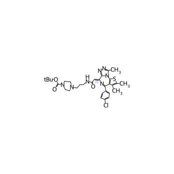 Cc1sc2c(c1C)C(c1ccc(Cl)cc1)=N/C(=C\C(=O)NCCCN1CCN(C(=O)OC(C)(C)C)CC1)c1nnc(C)n1-2